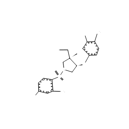 N#Cc1ccc(O[C@H]2CN(S(=O)(=O)c3ccc(C=O)cc3C#N)C[C@]2(O)CO)cc1F